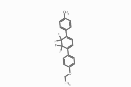 CCOc1ccc(C2=CC=C(c3ccc(C)cc3)C(F)(F)C2(F)F)cc1